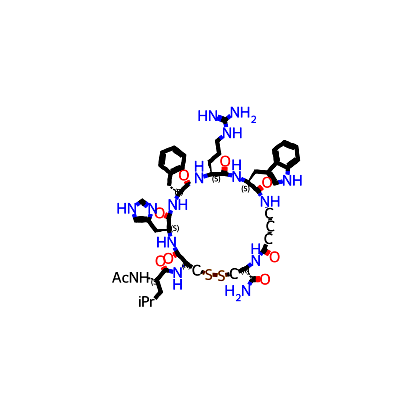 CC(=O)N[C@@H](CC(C)C)C(=O)N[C@H]1CSSC[C@@H](C(N)=O)NC(=O)CCCNC(=O)[C@H](Cc2c[nH]c3ccccc23)NC(=O)[C@H](CCCNC(=N)N)NC(=O)[C@@H](Cc2ccccc2)NC(=O)[C@H](Cc2c[nH]cn2)NC1=O